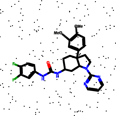 COc1ccc(C23CCC(NC(=O)Nc4ccc(F)c(F)c4)CC2N(c2ncccn2)CC3)cc1OC